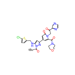 CC(C)(C)C(=O)n1nc(-c2cc(C(=O)N3CCOCC3)n(CC(=O)c3cnccn3)c(=O)c2)cc1NCc1ccc(Cl)s1